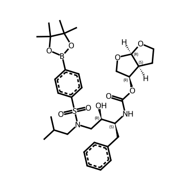 CC(C)CN(C[C@@H](O)[C@H](Cc1ccccc1)NC(=O)O[C@H]1CO[C@H]2OCC[C@H]21)S(=O)(=O)c1ccc(B2OC(C)(C)C(C)(C)O2)cc1